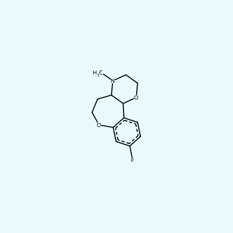 CN1CCOC2c3ccc(F)cc3OCCC21